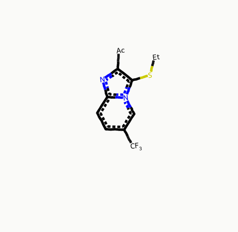 CCSc1c(C(C)=O)nc2ccc(C(F)(F)F)cn12